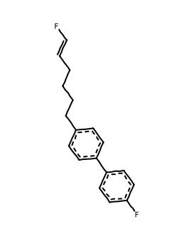 FC=CCCCCc1ccc(-c2ccc(F)cc2)cc1